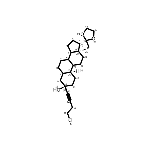 CC1([C@H]2CCC3C4CCC5C[C@@](O)(C#CCCCl)CC[C@@H]5C4CC[C@@]32C)OCCO1